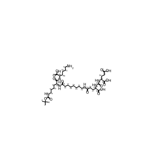 CC(C)(C)OC(=O)NCCCCC(NC(=O)CCCCCCCNC(=O)CCC(NC(=O)NC(CCC(=O)O)C(=O)O)C(=O)O)C(=O)NC(CCCCN)C(=O)O